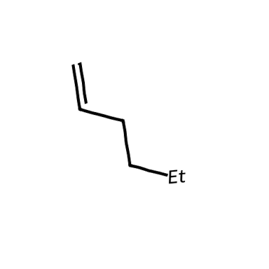 [CH]=CCCCC